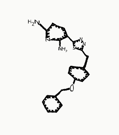 Nc1ccc(-c2nnc(Cc3ccc(OCc4ccccc4)cc3)s2)c(N)n1